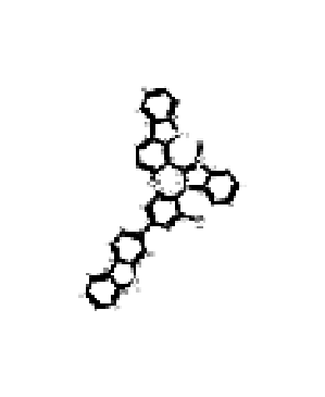 Cc1ccc2c(oc3ccccc32)c1-c1n(-c2c(C(C)C)cc(-c3ccc4c(c3)oc3ccccc34)cc2C(C)C)c2ccccc2[n+]1C